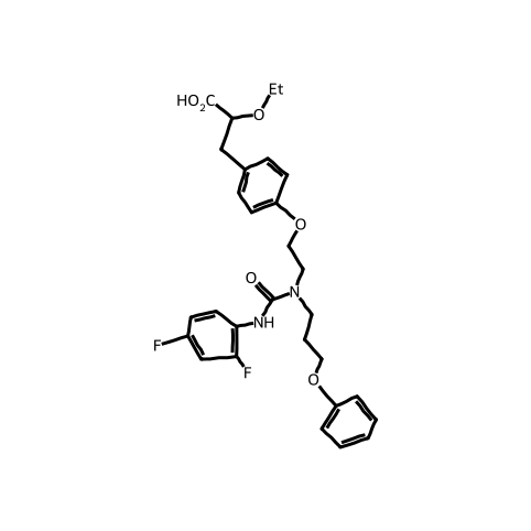 CCOC(Cc1ccc(OCCN(CCCOc2ccccc2)C(=O)Nc2ccc(F)cc2F)cc1)C(=O)O